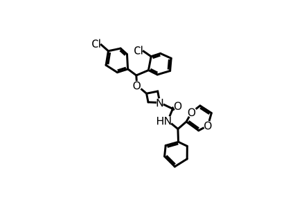 O=C(NC(C1=CC=CCC1)C1=COC=CO1)N1CC(OC(c2ccc(Cl)cc2)c2ccccc2Cl)C1